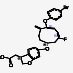 C=C1CC[C@@H](Oc2ccc3c(c2)OC[C@H]3CC(=O)OC)C/C(F)=C\C=C/1Oc1ccc(Br)cc1